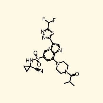 CC(C)C(=O)N1CCN(c2cc(S(=O)(=O)NC3(C#N)CC3)cn3c(-c4nnc(C(F)F)s4)cnc23)CC1